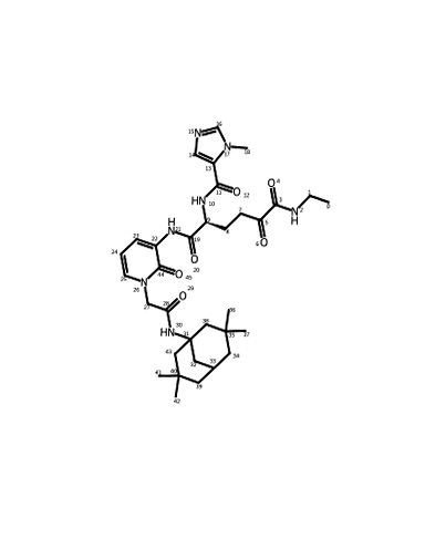 CCNC(=O)C(=O)CC[C@H](NC(=O)c1cncn1C)C(=O)Nc1cccn(CC(=O)NC23CC(CC(C)(C)C2)CC(C)(C)C3)c1=O